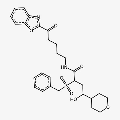 O=C(CCCCNC(=O)C(CC(O)C1CCOCC1)S(=O)(=O)Cc1ccccc1)c1nc2ccccc2o1